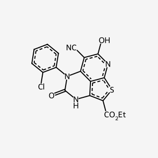 CCOC(=O)c1sc2nc(O)c(C#N)c3c2c1NC(=O)N3c1ccccc1Cl